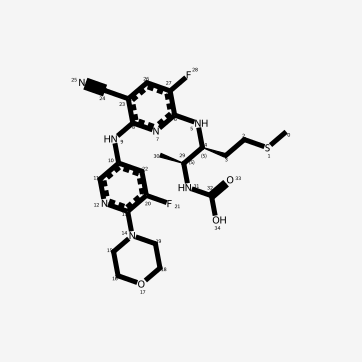 CSCC[C@H](Nc1nc(Nc2cnc(N3CCOCC3)c(F)c2)c(C#N)cc1F)[C@H](C)NC(=O)O